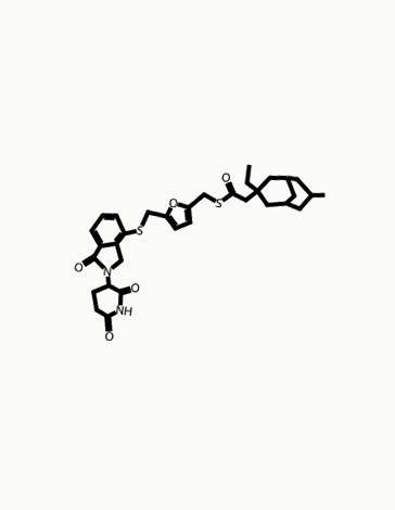 CCC1(CC(=O)SCc2ccc(CSc3cccc4c3CN(C3CCC(=O)NC3=O)C4=O)o2)CC2CC(C)CC(C2)C1